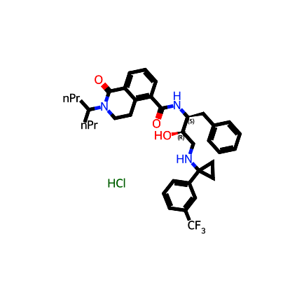 CCCC(CCC)N1CCc2c(C(=O)N[C@@H](Cc3ccccc3)[C@H](O)CNC3(c4cccc(C(F)(F)F)c4)CC3)cccc2C1=O.Cl